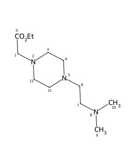 CCOC(=O)CN1CCN(CCN(C)C)CC1